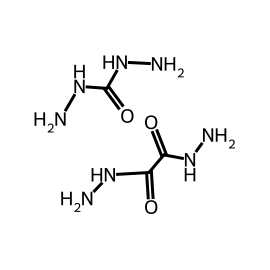 NNC(=O)C(=O)NN.NNC(=O)NN